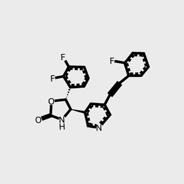 O=C1N[C@H](c2cncc(C#Cc3ccccc3F)c2)[C@@H](c2cccc(F)c2F)O1